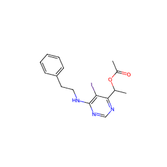 CC(=O)OC(C)c1ncnc(NCCc2ccccc2)c1I